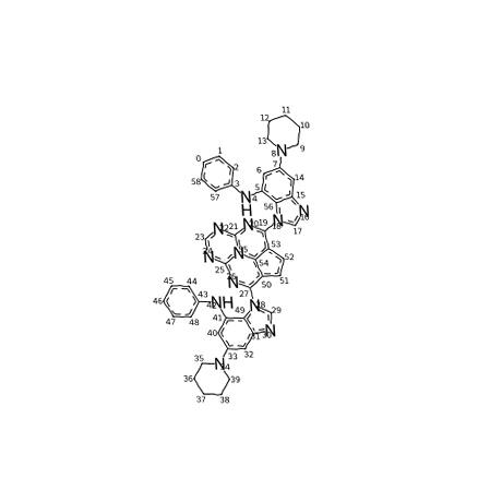 c1ccc(Nc2cc(N3CCCCC3)cc3ncn(-c4nc5ncnc6nc(-n7cnc8cc(N9CCCCC9)cc(Nc9ccccc9)c87)c7ccc4c7n56)c23)cc1